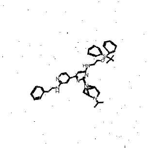 CC(C)N1CC2CC1CN2c1nc(NCCO[Si](c2ccccc2)(c2ccccc2)C(C)(C)C)cc(-c2ccnc(NCCc3ccccc3)c2)n1